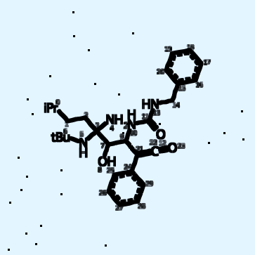 CC(C)CCC(N)(NC(C)(C)C)C(O)C(NC(=O)NCc1ccccc1)C(=C=O)c1ccccc1